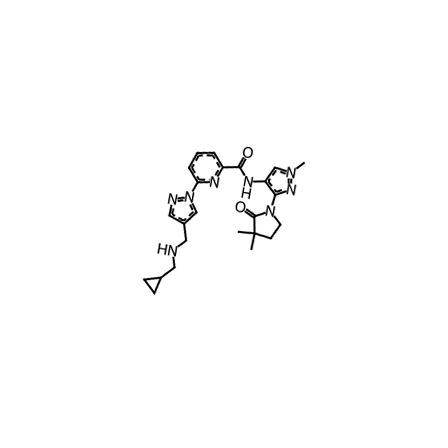 Cn1cc(NC(=O)c2cccc(-n3cc(CNCC4CC4)cn3)n2)c(N2CCC(C)(C)C2=O)n1